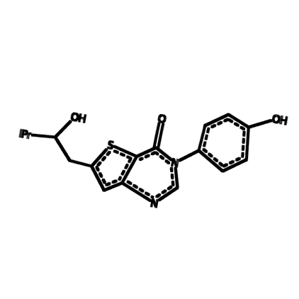 CC(C)C(O)Cc1cc2ncn(-c3ccc(O)cc3)c(=O)c2s1